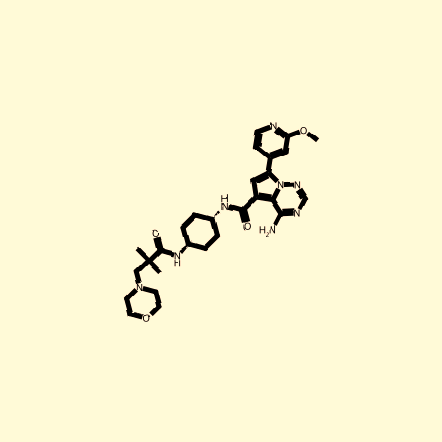 COc1cc(-c2cc(C(=O)N[C@H]3CC[C@H](NC(=O)C(C)(C)CN4CCOCC4)CC3)c3c(N)ncnn23)ccn1